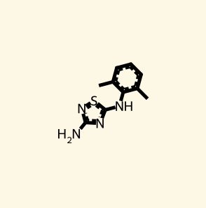 Cc1cccc(C)c1Nc1nc(N)ns1